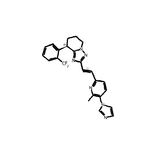 Cc1nc(/C=C/c2nc3n(n2)CCC[C@@H]3c2ccccc2C(F)(F)F)ccc1-n1ccnc1